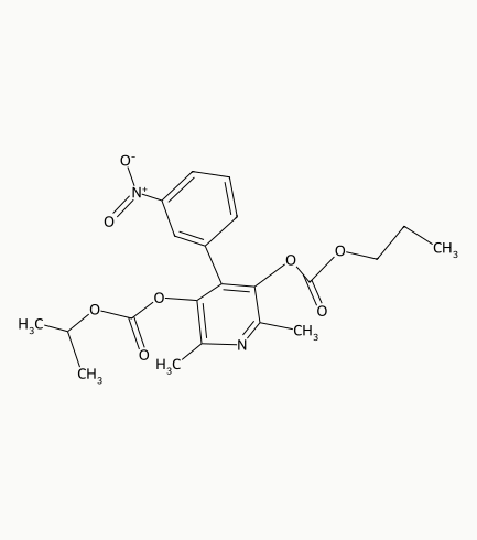 CCCOC(=O)Oc1c(C)nc(C)c(OC(=O)OC(C)C)c1-c1cccc([N+](=O)[O-])c1